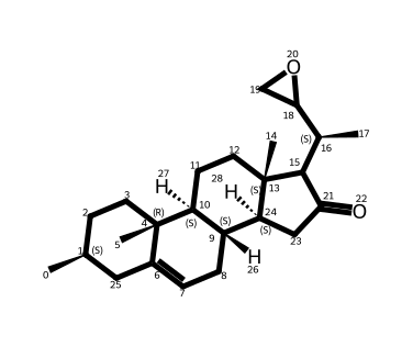 C[C@H]1CC[C@@]2(C)C(=CC[C@@H]3[C@@H]2CC[C@]2(C)C([C@H](C)C4CO4)C(=O)C[C@@H]32)C1